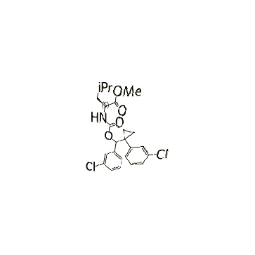 COC(=O)[C@H](CC(C)C)NC(=O)OC(c1cccc(Cl)c1)C1(c2cccc(Cl)c2)CC1